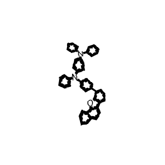 c1ccc(N(c2ccccc2)c2ccc(N(c3ccccc3)c3ccc(-c4cccc5c4oc4c6ccccc6ccc54)cc3)cc2)cc1